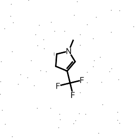 CN1[C]CC(C(F)(F)F)=C1